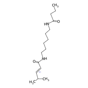 CCCC(=O)NCCCCCCNC(=O)/C=C/C(C)C